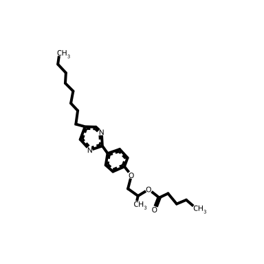 CCCCCCCCc1cnc(-c2ccc(OCC(C)OC(=O)CCCC)cc2)nc1